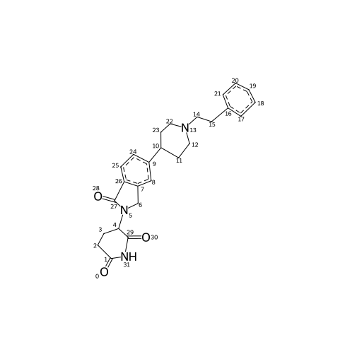 O=C1CCC(N2Cc3cc(C4CCN(CCc5ccccc5)CC4)ccc3C2=O)C(=O)N1